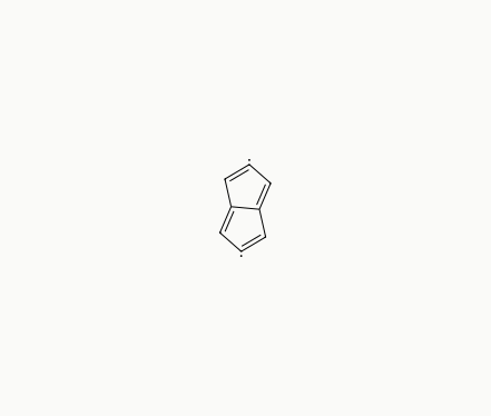 [C]1=CC2=C[C]=CC2=C1